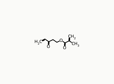 C=CC(=O)CCOC(=O)C(=C)C